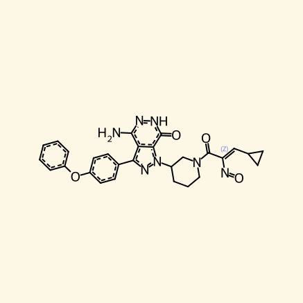 Nc1n[nH]c(=O)c2c1c(-c1ccc(Oc3ccccc3)cc1)nn2C1CCCN(C(=O)/C(=C/C2CC2)N=O)C1